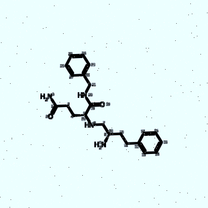 NC(=O)CC[C@H](NC[C@H](N)CCc1ccccc1)C(=O)NCc1cc[c]cc1